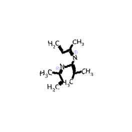 C=C/C(C)=N\C(/N=C(/C)C=C)=C(C)C